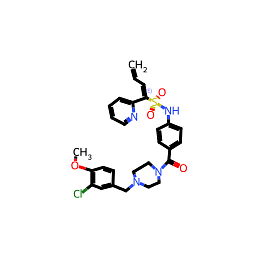 C=C/C=C(\c1ccccn1)S(=O)(=O)Nc1ccc(C(=O)N2CCN(Cc3ccc(OC)c(Cl)c3)CC2)cc1